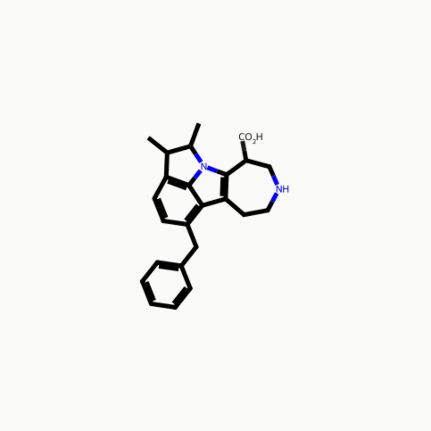 CC1c2ccc(Cc3ccccc3)c3c4c(n(c23)C1C)C(C(=O)O)CNCC4